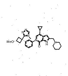 CO[C@H]1C[C@](c2cccc(-n3cc(C4CC4)c4cc(CN5CCCCC5)[nH]c4c3=O)c2)(c2nncn2C)C1